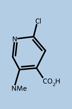 CNc1cnc(Cl)cc1C(=O)O